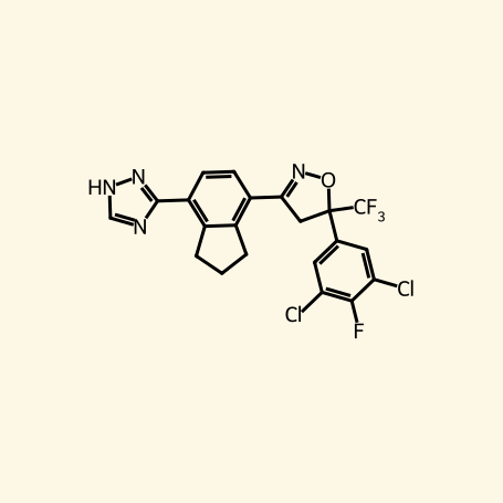 Fc1c(Cl)cc(C2(C(F)(F)F)CC(c3ccc(-c4nc[nH]n4)c4c3CCC4)=NO2)cc1Cl